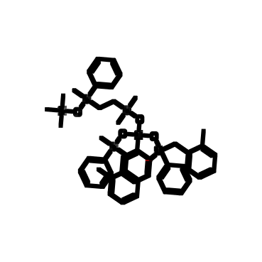 Cc1ccccc1C[Si](C)(O[Si](O[Si](C)(C)CC[Si](C)(O[Si](C)(C)C)c1ccccc1)(O[Si](C)(Cc1ccccc1C)c1ccccc1)c1ccccc1)c1ccccc1